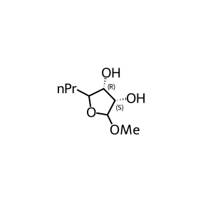 CCCC1OC(OC)[C@@H](O)[C@H]1O